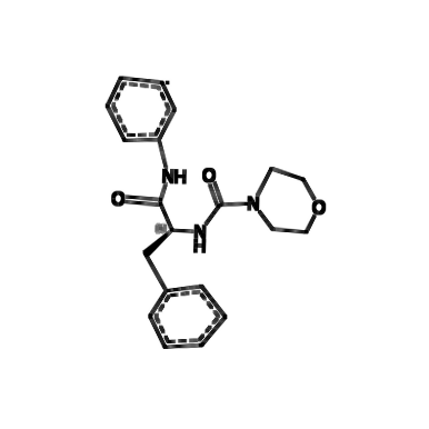 O=C(Nc1c[c]ccc1)[C@H](Cc1ccccc1)NC(=O)N1CCOCC1